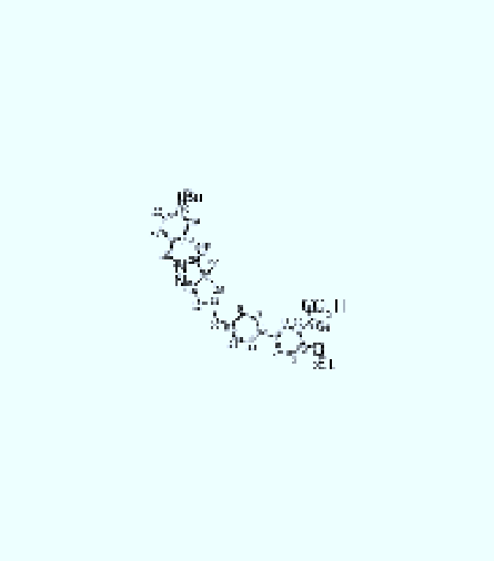 CCOc1ccc(-c2ccc(CCCC3=NN(Cc4ccc(C(C)(C)C)cc4)C(=O)C3(C)C)cc2)cc1C(C)C(=O)O